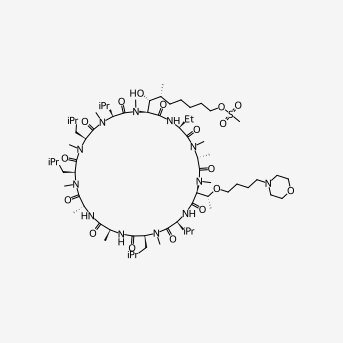 CC[C@@H]1NC(=O)[C@H]([C@H](O)[C@H](C)CCCCCOS(C)(=O)=O)N(C)C(=O)[C@H](C(C)C)N(C)C(=O)[C@H](CC(C)C)N(C)C(=O)[C@H](CC(C)C)N(C)C(=O)[C@@H](C)NC(=O)[C@H](C)NC(=O)[C@H](CC(C)C)N(C)C(=O)[C@H](C(C)C)NC(=O)[C@H]([C@@H](C)OCCCCN2CCOCC2)N(C)C(=O)[C@@H](C)N(C)C1=O